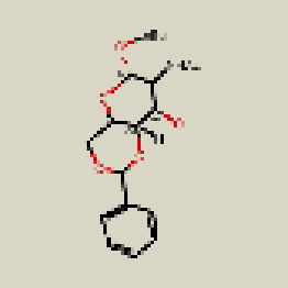 CCCCO[C@H]1OC2COC(c3ccccc3)O[C@H]2[C@H](O)C1NC(C)=O